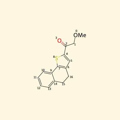 COCC(=O)c1cc2c(s1)-c1ccccc1CC2